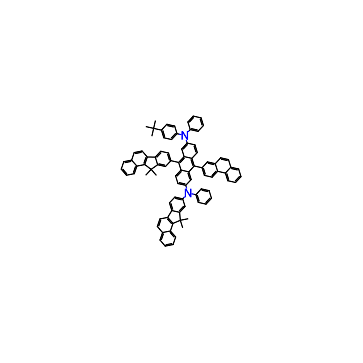 CC(C)(C)c1ccc(N(c2ccccc2)c2ccc3c(-c4ccc5c(ccc6ccccc65)c4)c4cc(N(c5ccccc5)c5ccc6c(c5)C(C)(C)c5c-6ccc6ccccc56)ccc4c(-c4ccc5c(c4)C(C)(C)c4c-5ccc5ccccc45)c3c2)cc1